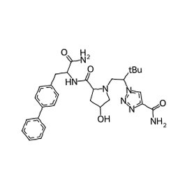 CC(C)(C)C(CN1CC(O)CC1C(=O)NC(Cc1ccc(-c2ccccc2)cc1)C(N)=O)n1cc(C(N)=O)nn1